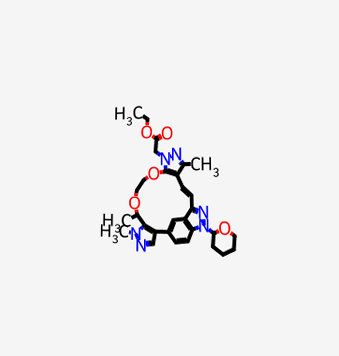 CCOC(=O)Cn1nc(C)c2c1OCCOC(C)c1c(cnn1C)-c1ccc3c(c1)c(nn3C1CCCCO1)/C=C/2